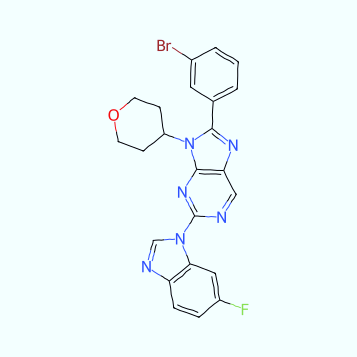 Fc1ccc2ncn(-c3ncc4nc(-c5cccc(Br)c5)n(C5CCOCC5)c4n3)c2c1